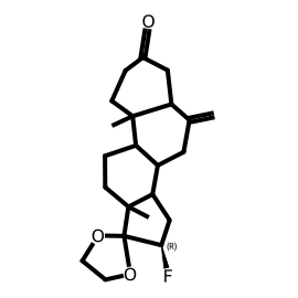 C=C1CC2C(CCC3(C)C2C[C@@H](F)C32OCCO2)C2(C)CCC(=O)CC12